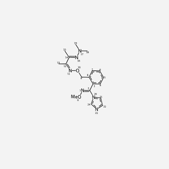 CON=C(c1ccccc1CON=C(C)C(C)=NN(C)C)n1ccnc1